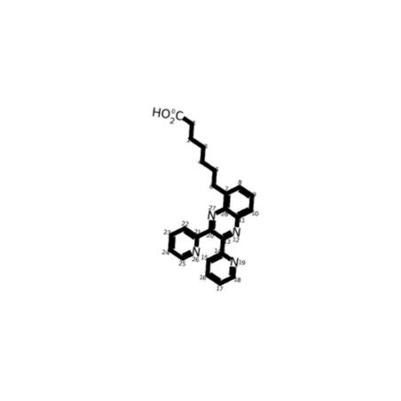 O=C(O)CCCCCCc1cccc2nc(-c3ccccn3)c(-c3ccccn3)nc12